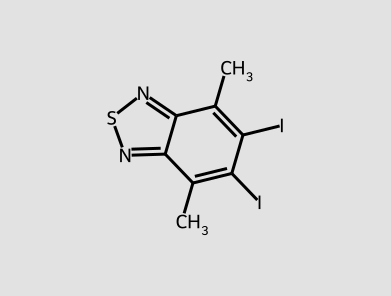 Cc1c(I)c(I)c(C)c2nsnc12